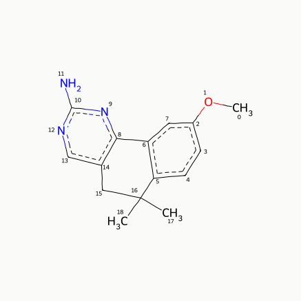 COc1ccc2c(c1)-c1nc(N)ncc1CC2(C)C